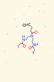 O=[C]CCC(=O)N(CCNC(=O)CI)CCNC(=O)CI